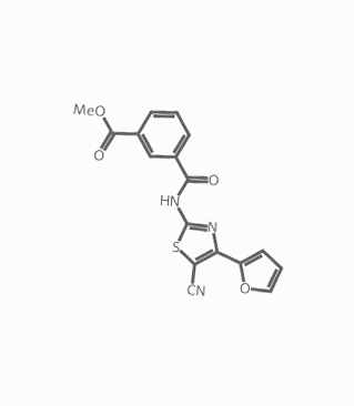 COC(=O)c1cccc(C(=O)Nc2nc(-c3ccco3)c(C#N)s2)c1